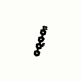 CCc1ccc(-c2ccc(-c3ccc(-c4ccccc4)cc3F)cc2)cc1